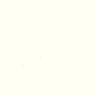 Cl.O=c1cc(OCc2ccccc2)ccn1-c1ccc2sc3c(c2c1)CNCCC3